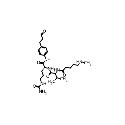 CNCCCCC(=O)N[C@H](C(=O)N[C@@H](CCCNC(N)=O)C(=O)Nc1ccc(CCC=O)cc1)C(C)C